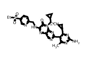 CCS(=O)(=O)c1ccc(CNc2nc3cnc(-c4c(C)nc(N)nc4C4CC4)nc3n([C@@H](C)C3CC3)c2=O)nc1